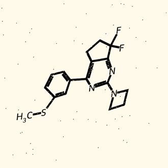 CSc1cccc(-c2nc(N3CCC3)nc3c2CCC3(F)F)c1